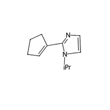 CC(C)n1ccnc1C1=CCCC1